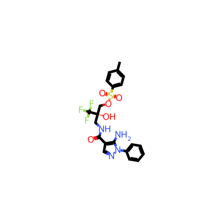 Cc1ccc(S(=O)(=O)OC[C@@](O)(CNC(=O)c2cnn(-c3ccccc3)c2N)C(F)(F)F)cc1